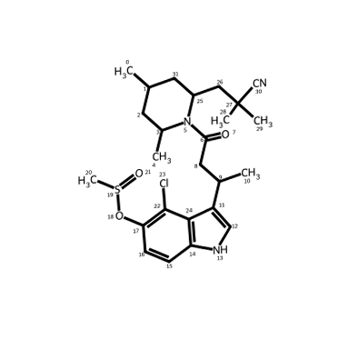 CC1CC(C)N(C(=O)CC(C)c2c[nH]c3ccc(OS(C)=O)c(Cl)c23)C(CC(C)(C)C#N)C1